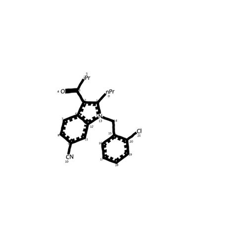 CCCc1c(C(=O)C(C)C)c2ccc(C#N)cc2n1Cc1ccccc1Cl